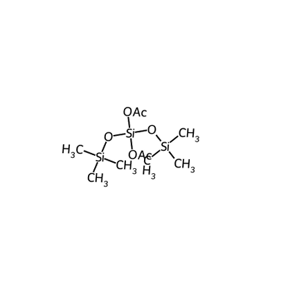 CC(=O)O[Si](OC(C)=O)(O[Si](C)(C)C)O[Si](C)(C)C